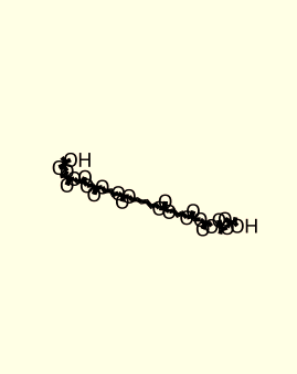 CC(O)C(=O)OC(C)C(=O)OCC(=O)OCC(=O)OCCCOC(=O)OCCCCCCOC(=O)OCCCOC(=O)COC(=O)COC(=O)C(C)OC(=O)C(C)O